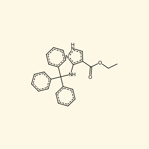 CCOC(=O)c1c[nH]nc1NC(c1ccccc1)(c1ccccc1)c1ccccc1